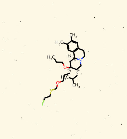 CCCO[C@@]1(CCCOCSCCF)C[C@H]2c3cc(C)c(C)cc3CCN2C[C@@H]1CC(C)C